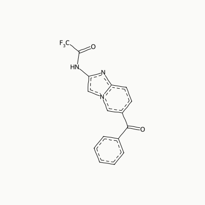 O=C(c1ccccc1)c1ccc2nc(NC(=O)C(F)(F)F)cn2c1